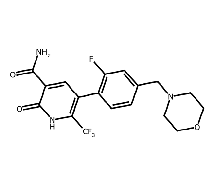 NC(=O)c1cc(-c2ccc(CN3CCOCC3)cc2F)c(C(F)(F)F)[nH]c1=O